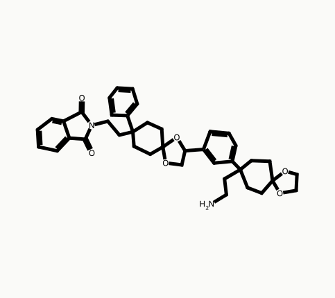 NCCC1(c2cccc(C3COC4(CCC(CCN5C(=O)c6ccccc6C5=O)(c5ccccc5)CC4)O3)c2)CCC2(CC1)OCCO2